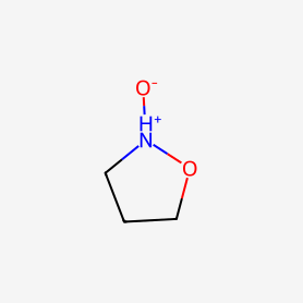 [O-][NH+]1CCCO1